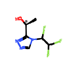 C[C@H](O)c1nncn1C(F)C(F)F